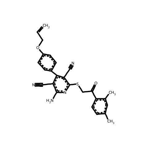 C=CCOc1ccc(-c2c(C#N)c(N)nc(SCC(=O)c3ccc(C)cc3C)c2C#N)cc1